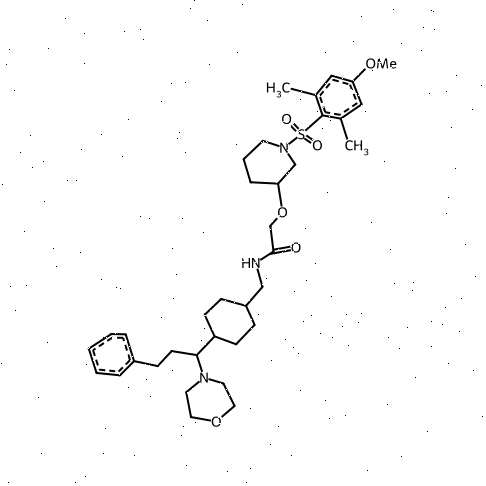 COc1cc(C)c(S(=O)(=O)N2CCCC(OCC(=O)NCC3CCC(C(CCc4ccccc4)N4CCOCC4)CC3)C2)c(C)c1